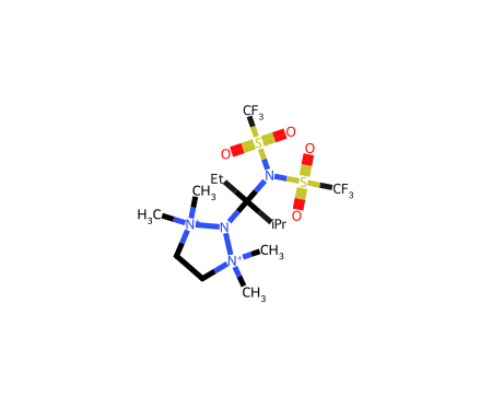 CCC(C(C)C)(N1[N+](C)(C)CC[N+]1(C)C)N(S(=O)(=O)C(F)(F)F)S(=O)(=O)C(F)(F)F